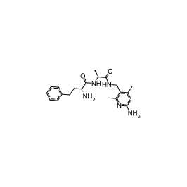 Cc1cc(N)nc(C)c1CNC(=O)[C@H](C)NC(=O)[C@H](N)CCc1ccccc1